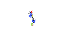 Cc1ccc(C(C)C)c(N2C(=O)CS/C2=N\C(=S)NN(C)Cc2ccc(-c3ncn(-c4ccc(OC(F)(F)F)cc4)n3)cc2)c1